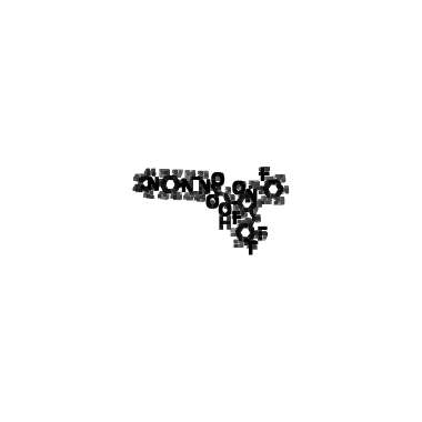 O=C(C=C(O)c1cc(Cc2c(F)ccc(F)c2F)cn(Cc2ccccc2F)c1=O)C(=O)N1CCN(c2ccc(-n3cccc3)cc2)CC1